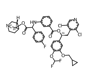 O=C(O[C@@H](Cc1c(Cl)cncc1Cl)c1ccc(OC(F)F)c(OCC2CC2)c1)c1cccc(NC(C(=O)O[C@H]2CN3CCC2CC3)c2ccc(F)cc2)c1